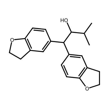 CC(C)C(O)C(c1ccc2c(c1)CCO2)c1ccc2c(c1)CCO2